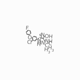 CC(C)NC(=N)c1c(O)nsc1Nc1ccc(Oc2ccc(F)cc2)c(Cl)c1